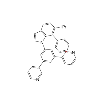 CC(C)c1ccc2ccn(-c3cc(-c4cccnc4)cc(-c4cccnc4)c3)c2c1-c1ccccc1